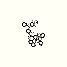 COc1c(C)cc([S+](c2ccccc2)c2ccccc2)cc1C.O=C([O-])c1cc(Oc2ccccc2)c(Oc2ccccc2)c(Oc2ccccc2)c1-c1ccccc1